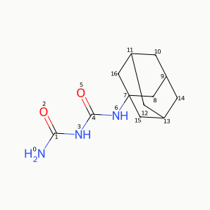 NC(=O)NC(=O)NC12CC3CC(CC(C3)C1)C2